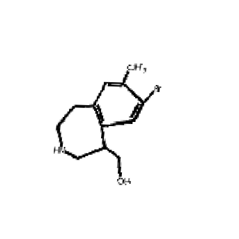 Cc1cc2c(cc1Br)C(CO)CNCC2